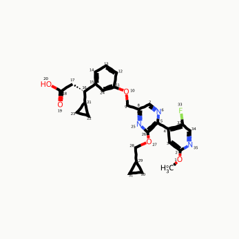 COc1cc(-c2ncc(COc3cccc([C@@H](CC(=O)O)C4CC4)c3)nc2OCC2CC2)c(F)cn1